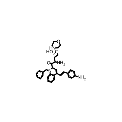 C1COCCN1.Nc1ccc(C=CC2=CC(C(=O)C(N)CCC(=O)O)N(Cc3ccccc3)c3ccccc32)cc1